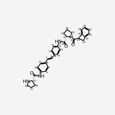 O=C(Nc1ccc(/C=C/c2ccc(NC(=O)[C@@H]3CCCN3C(=O)C3Cc4ccccc43)cc2)cc1)[C@@H]1CCCN1